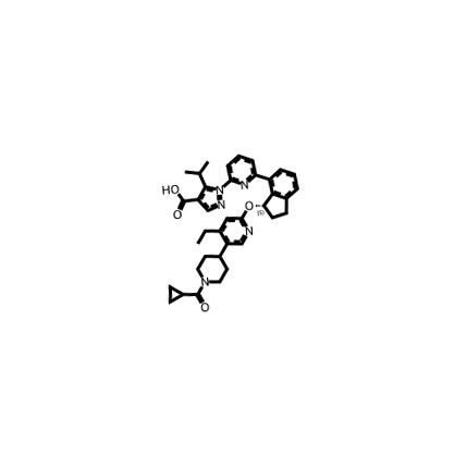 CCc1cc(O[C@H]2CCc3cccc(-c4cccc(-n5ncc(C(=O)O)c5C(C)C)n4)c32)ncc1C1CCN(C(=O)C2CC2)CC1